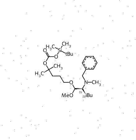 CC[C@H](C)[C@@H](C(OC)OCCCC(C)(C)OC(=O)O[Si](C)(C)C(C)(C)C)N(C)Cc1ccccc1